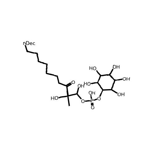 CCCCCCCCCCCCCCCCCC(=O)C(C)(O)C(O)OP(=O)(O)OC1C(O)C(O)C(O)C(O)C1O